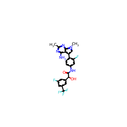 Cc1nc(N)c2c(-c3ccc(NC(=O)C(O)c4cc(F)cc(C(F)(F)F)c4)cc3F)cn(C)c2n1